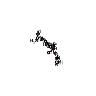 CC1(C)CCC(c2ccc(Cl)cc2)=C(CN2CCN(c3ccc(C(=O)NS(=O)(=O)c4ccc(N[C@H](CCN5CCN(Cc6cnc(N7CCC(=O)NC7=O)cn6)CC5)CSc5ccccc5)c(S(=O)(=O)C(F)(F)F)c4)cc3)CC2)C1